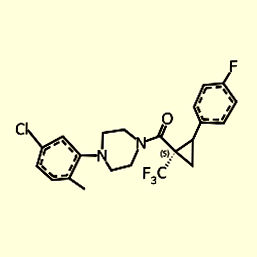 Cc1ccc(Cl)cc1N1CCN(C(=O)[C@]2(C(F)(F)F)CC2c2ccc(F)cc2)CC1